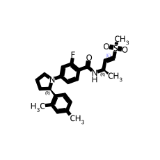 Cc1ccc([C@H]2CCCN2c2ccc(C(=O)N[C@H](C)/C=C/S(C)(=O)=O)c(F)c2)c(C)c1